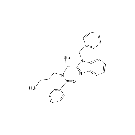 CC(C)(C)[C@H](c1nc2ccccc2n1Cc1ccccc1)N(CCCN)C(=O)c1ccccc1